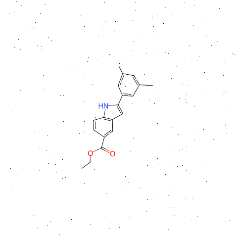 CCOC(=O)c1ccc2[nH]c(-c3cc(C)cc(C)c3)cc2c1